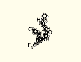 O=C(NC1CCCCC1)C(=O)N1CC2CN(C(=O)c3ccc(Nc4nc(CC5(c6ccc(Cl)cc6)CC5)nc(OCC(F)(F)F)n4)cc3)CC2C1